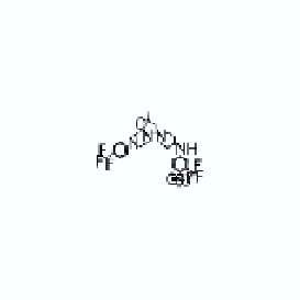 CC(=O)CC(N1CCC(Nc2ccc(S(C)(=O)=O)c(C(F)(F)F)c2)CC1)N1CCN(c2ccc(C(F)(F)F)cc2)CC1